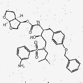 CC(C)CN(C[C@@H](O)[C@H](Cc1ccc(OCc2ccccc2)cc1)NC(=O)O[C@H]1CO[C@H]2OCC[C@H]21)S(=O)(=O)c1cccc(N)c1